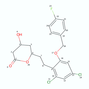 O=C1CC(O)CC(CCc2c(Cl)cc(Cl)cc2OCc2ccc(F)cc2)O1